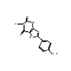 CCCCn1c(=O)[nH]c2nc(-c3ccc(C(=O)O)cc3)[nH]c2c1=O